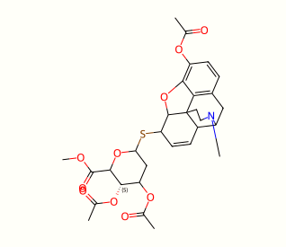 COC(=O)C1OC(SC2C=CC3C4Cc5ccc(OC(C)=O)c6c5C3(CCN4C)C2O6)CC(OC(C)=O)[C@@H]1OC(C)=O